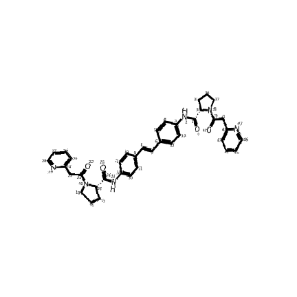 O=C(Nc1ccc(/C=C/c2ccc(NC(=O)[C@@H]3CCCN3C(=O)Cc3ccccn3)cc2)cc1)[C@@H]1CCCN1C(=O)Cc1ccccn1